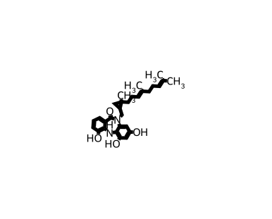 CC(C)=CCC/C(C)=C/CCC1(C)CC1CN1C(=O)c2cccc(O)c2Nc2c(O)cc(O)cc21